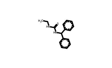 CCNC(=S)NC(c1ccccc1)c1ccccc1